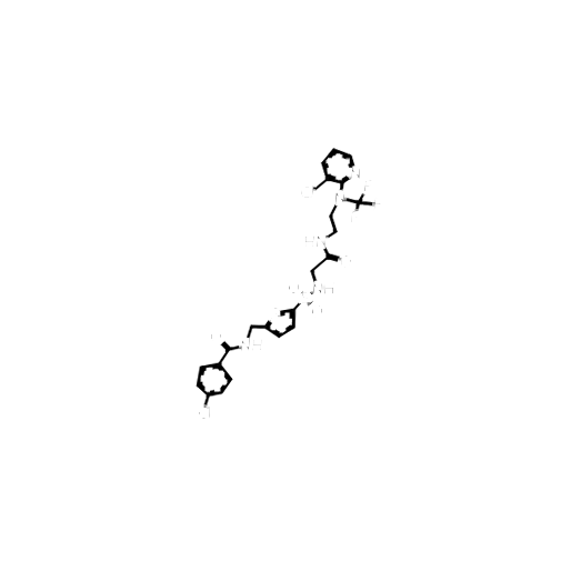 O=C(CNS(=O)(=O)c1ccc(CNC(=O)c2ccc(Cl)cc2)s1)NCCN(c1ncccc1Cl)C(F)(F)F